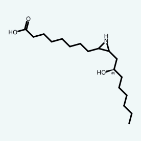 CCCCCC[C@@H](O)CC1NC1CCCCCCCC(=O)O